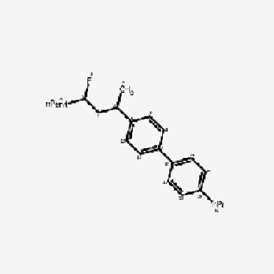 CCCC[CH]C(F)CC(C)c1ccc(-c2ccc(CCC)cc2)cc1